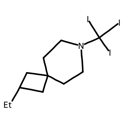 CCC1CC2(CCN(C(I)(I)I)CC2)C1